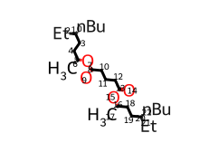 CCCCC(CC)CCC(C)OC(=O)CCCC(=O)OC(C)CCC(CC)CCCC